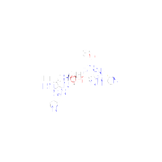 CCOCCNc1nc(Sc2cccnc2)nc2[nH]c(CCC[C@H](O)CNc3nc(Sc4cccnc4)nc4[nH]c(CC)c(C=O)c34)c(C=O)c12